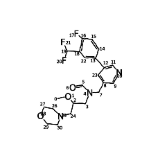 COC(CN(C=O)Cc1cncc(-c2ccc(F)c(C(F)F)c2)c1)CN1CCOCC1